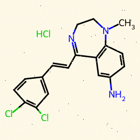 CN1CCN=C(C=Cc2ccc(Cl)c(Cl)c2)c2cc(N)ccc21.Cl